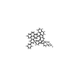 C=C/C=C\c1c(C)c2cc3c4ccc5ccccc5c4n(-c4nc(-c5ccc(-c6ccccc6)cc5)c5c(ccc6ccccc65)n4)c3c3c4ccccc4n1c23